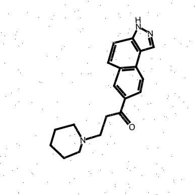 O=C(CCN1CCCCC1)c1ccc2c(ccc3[nH]ncc32)c1